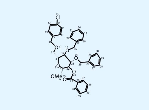 CO[C@@H]1O[C@H](COCc2ccc(Cl)cc2)[C@@H](OCc2ccccc2)[C@H](OCc2ccccc2)[C@H]1OC(=O)c1ccccc1